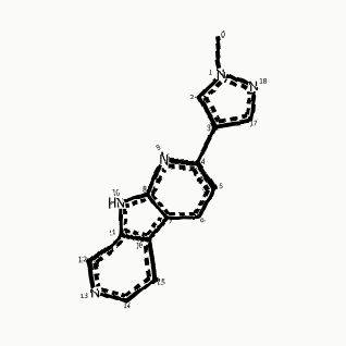 Cn1cc(-c2ccc3c(n2)[nH]c2cnccc23)cn1